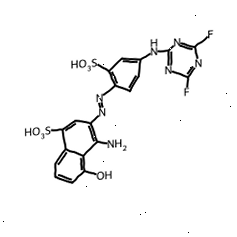 Nc1c(N=Nc2ccc(Nc3nc(F)nc(F)n3)cc2S(=O)(=O)O)cc(S(=O)(=O)O)c2cccc(O)c12